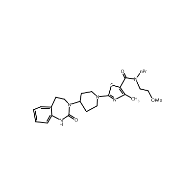 CCCN(CCOC)C(=O)c1sc(N2CCC(N3CCc4ccccc4NC3=O)CC2)nc1C